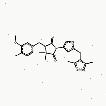 COc1cc(CN2C(=O)N(c3cnn(Cc4c(C)noc4C)c3)C(=O)C2(C)C)ccc1F